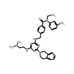 CCN(C(=O)c1ccc(CNc2nc(NCCN(C)C)nc(N3CCc4ccccc4C3)n2)cc1)c1cccc(C)c1